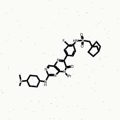 CC(C)n1c(=O)c(-c2ccc(NS(=O)(=O)CC34CCC(CC3)C4)c(F)c2)nc2cnc(NC3CCC(N(C)C)CC3)nc21